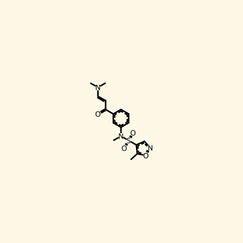 Cc1oncc1S(=O)(=O)N(C)c1cccc(C(=O)C=CN(C)C)c1